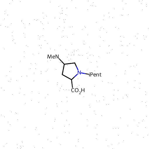 CCCC(C)N1CC(NC)CC1C(=O)O